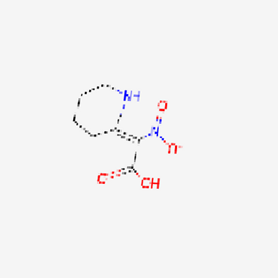 O=C(O)C(=C1CCCCN1)[N+](=O)[O-]